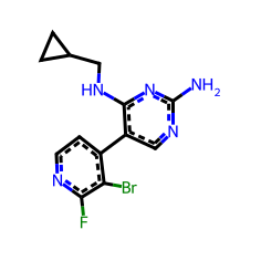 Nc1ncc(-c2ccnc(F)c2Br)c(NCC2CC2)n1